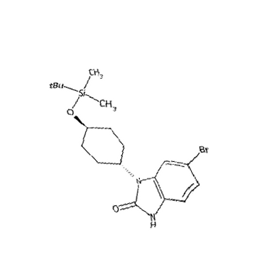 CC(C)(C)[Si](C)(C)O[C@H]1CC[C@H](n2c(=O)[nH]c3ccc(Br)cc32)CC1